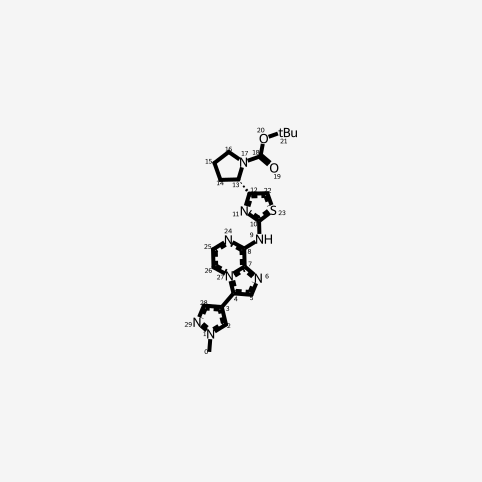 Cn1cc(-c2cnc3c(Nc4nc([C@@H]5CCCN5C(=O)OC(C)(C)C)cs4)nccn23)cn1